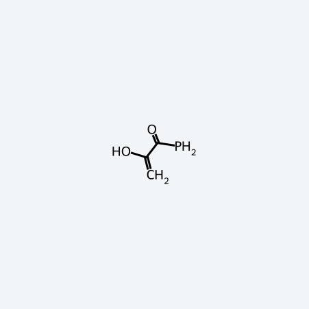 C=C(O)C(=O)P